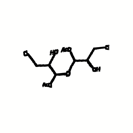 CC(=O)OC(OC(OC(C)=O)C(O)CCl)C(O)CCl